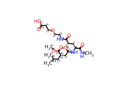 CNC(=O)[C@H](CCC(=O)NCCOCCC(=O)O)NC(=O)C[C@@H](CC(C)C)C(=O)OC